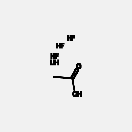 CC(=O)O.F.F.F.[LiH]